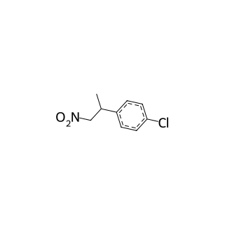 CC(C[N+](=O)[O-])c1ccc(Cl)cc1